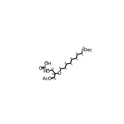 CCCCCCCCCCCCCCCCCCOC(COC(C)=O)CO[PH](=O)O